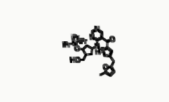 Cc1ccc(Cc2csc(C(=O)c3cncnc3NC3CC(CO)C(O[Si](C(C)C)(C(C)C)C(C)C)C3)c2)o1